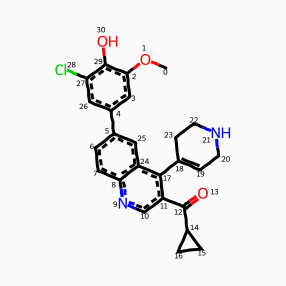 COc1cc(-c2ccc3ncc(C(=O)C4CC4)c(C4=CCNCC4)c3c2)cc(Cl)c1O